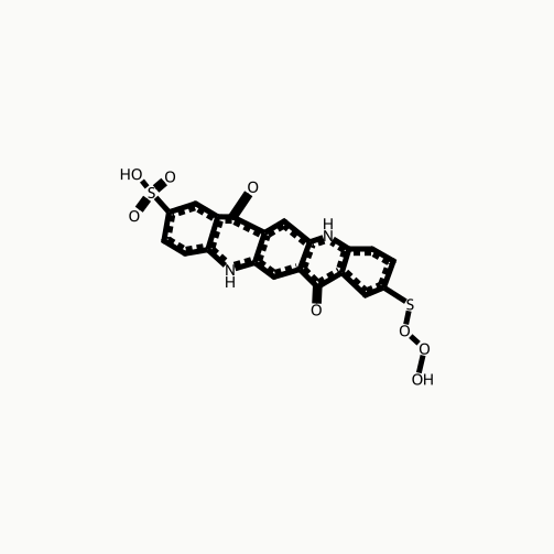 O=c1c2cc(SOOO)ccc2[nH]c2cc3c(=O)c4cc(S(=O)(=O)O)ccc4[nH]c3cc12